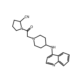 N#CC1CCCN1C(=O)CN1CCC(Nc2ccnc3ccccc23)CC1